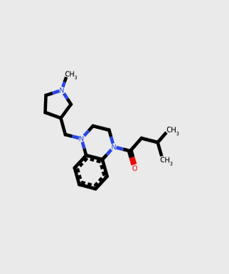 CC(C)CC(=O)N1CCN(CC2CCN(C)C2)c2ccccc21